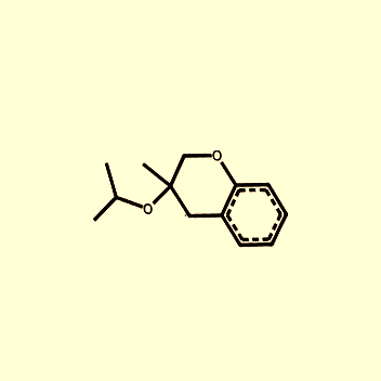 CC(C)OC1(C)[CH]c2ccccc2OC1